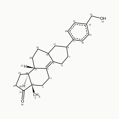 C[C@]12CCC3=C4CCC(c5ccc(CO)cc5)CC4CC[C@H]3[C@@H]1CCC2=O